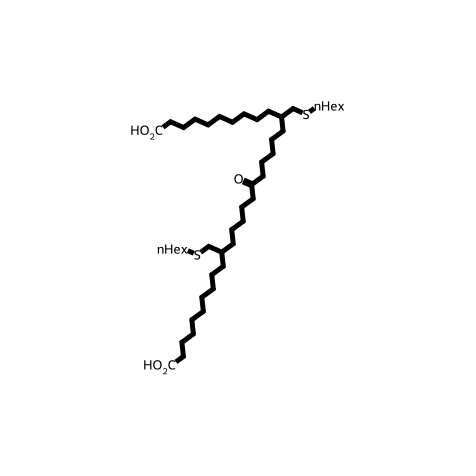 CCCCCCSCC(CCCCCCCCCC(=O)O)CCCCCC(=O)CCCCCC(CCCCCCCCCC(=O)O)CSCCCCCC